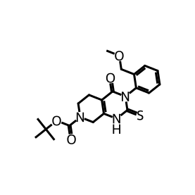 COCc1ccccc1-n1c(=S)[nH]c2c(c1=O)CCN(C(=O)OC(C)(C)C)C2